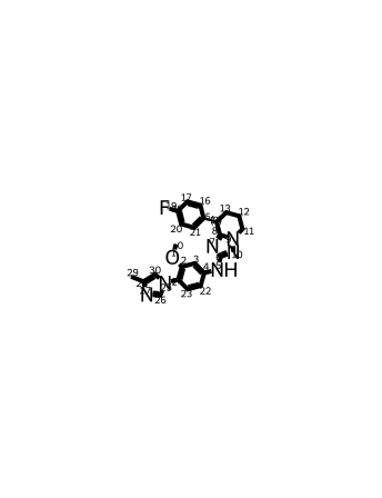 COc1cc(Nc2nc3n(n2)CCC[C@@H]3c2ccc(F)cc2)ccc1-n1cnc(C)c1